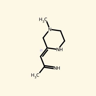 CC(=N)/C=C1/CN(C)CCN1